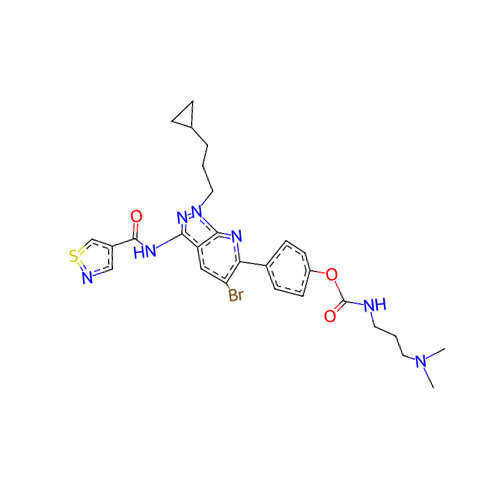 CN(C)CCCNC(=O)Oc1ccc(-c2nc3c(cc2Br)c(NC(=O)c2cnsc2)nn3CCCC2CC2)cc1